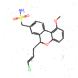 COc1cccc2c1-c1ccc(CS(N)(=O)=O)cc1C(C/C=C/Cl)O2